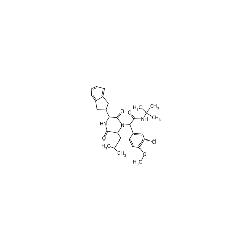 COc1ccc(C(C(=O)NC(C)(C)C)N2C(=O)C(C3Cc4ccccc4C3)NC(=O)C2CC(C)C)cc1Cl